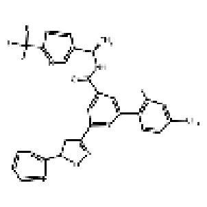 Cc1ccc(-c2cc(C(=O)N[C@H](C)c3ccc(C(F)(F)F)nc3)cc(C3=NOC(c4ccccn4)C3)n2)c(F)c1